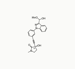 COC(O)c1nn(-c2cccc(C#C[C@]3(O)CCN(C)C3=O)c2)c2ccccc12